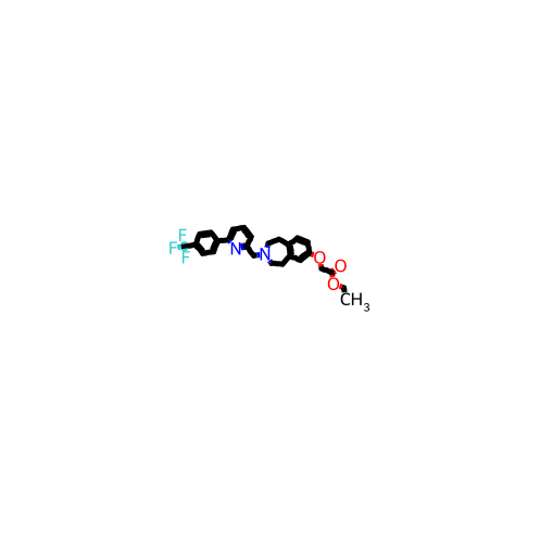 CCOC(=O)COc1ccc2c(c1)CCN(Cc1cccc(-c3ccc(C(F)(F)F)cc3)n1)CC2